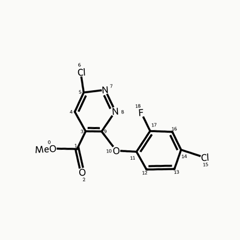 COC(=O)c1cc(Cl)nnc1Oc1ccc(Cl)cc1F